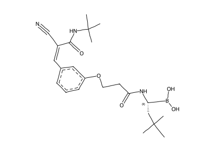 CC(C)(C)C[C@H](NC(=O)CCOc1cccc(C=C(C#N)C(=O)NC(C)(C)C)c1)B(O)O